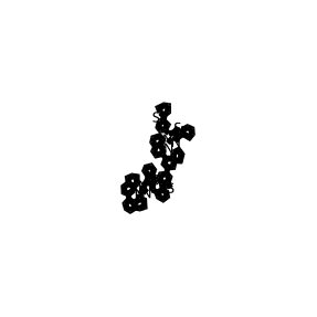 c1ccc2c3c(ccc2c1)-c1cc(-c2ccc4c(c2)sc2cccc(-c5nc(N6c7c(ccc8ccccc78)-c7cccc8cccc6c78)nc6c5sc5ccccc56)c24)cc2cccc(c12)N3c1nc(-c2ccc3sc4ccccc4c3c2)c2sc3ccccc3c2n1